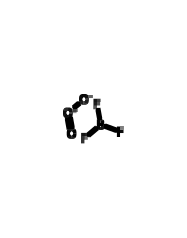 FB(F)F.O=[O+][O-]